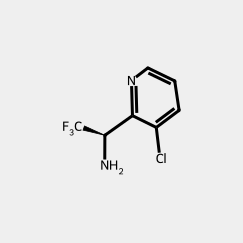 N[C@H](c1ncccc1Cl)C(F)(F)F